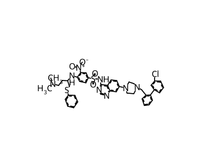 CN(C)CCC(CSc1ccccc1)Nc1ccc(S(=O)(=O)Nc2ncnc3cc(N4CCN(Cc5ccccc5-c5cccc(Cl)c5)CC4)ccc23)cc1[N+](=O)[O-]